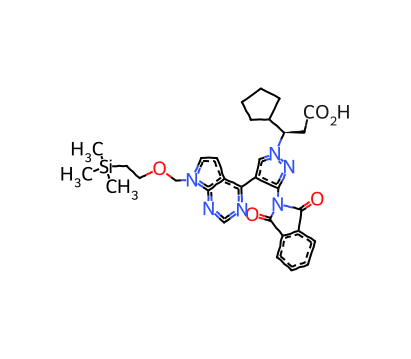 C[Si](C)(C)CCOCn1ccc2c(-c3cn([C@H](CC(=O)O)C4CCCC4)nc3N3C(=O)c4ccccc4C3=O)ncnc21